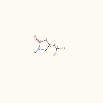 CN1CC(CC(F)F)CC1=O